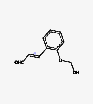 O=[C]/C=C/c1ccccc1OCO